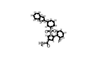 CNC(=O)c1cc(-c2ccccc2F)n(S(=O)(=O)c2cccc(-c3cc4ccccc4s3)c2)c1